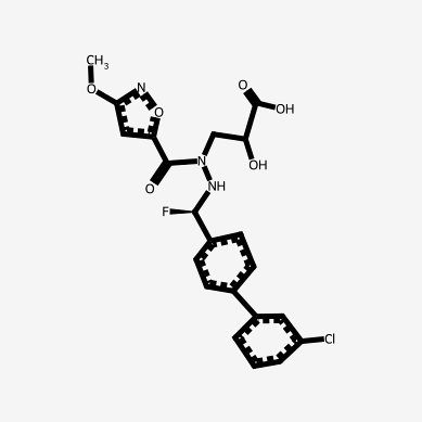 COc1cc(C(=O)N(CC(O)C(=O)O)N[C@H](F)c2ccc(-c3cccc(Cl)c3)cc2)on1